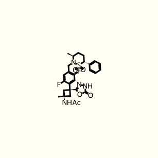 CC(=O)N[C@]1(C)C[C@](c2n[nH]c(=O)o2)(c2cc(F)c(CN3[C@@H](C)CC[C@H](c4ccccc4)S3(=O)=O)cc2F)C1